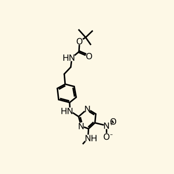 CNc1nc(Nc2ccc(CCNC(=O)OC(C)(C)C)cc2)ncc1[N+](=O)[O-]